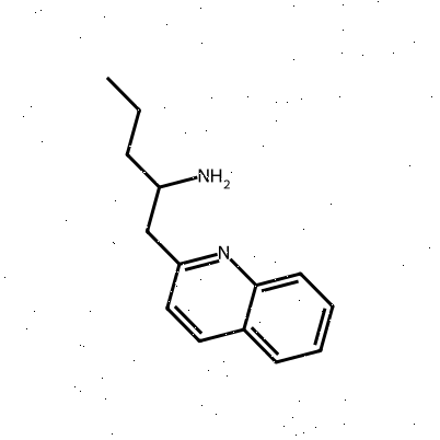 CCCC(N)Cc1ccc2ccccc2n1